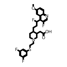 COc1ccc2ncc(F)c(C(F)CCC3CCN(CCSc4cc(F)cc(F)c4)CC3CC(=O)O)c2c1